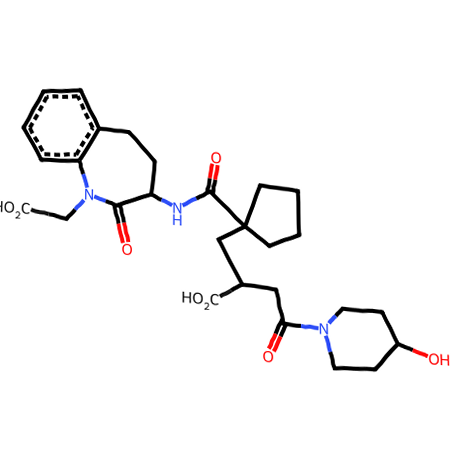 O=C(O)CN1C(=O)C(NC(=O)C2(CC(CC(=O)N3CCC(O)CC3)C(=O)O)CCCC2)CCc2ccccc21